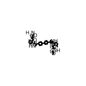 COC(=O)NC(C)(C)C(=O)N1C(C)CCC1c1nc(-c2ccc(-c3ccc(-c4c[nH]c([C@@H]5CC[C@H](C)N5C(=O)C(C)(C)OC(N)=O)n4)cc3)cc2)c[nH]1